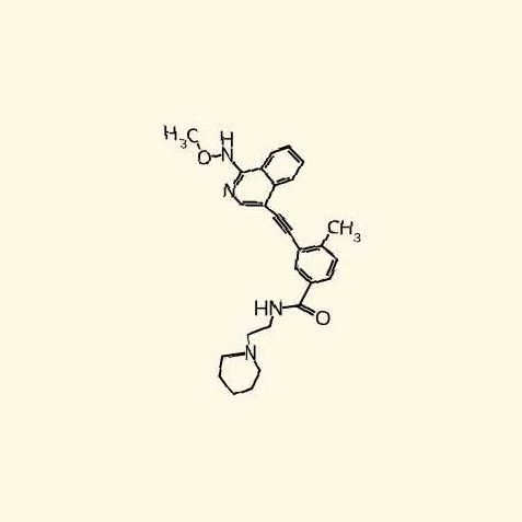 CONc1ncc(C#Cc2cc(C(=O)NCCN3CCCCC3)ccc2C)c2ccccc12